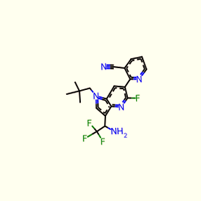 CC(C)(C)Cn1cc(C(N)C(F)(F)F)c2nc(F)c(-c3ncccc3C#N)cc21